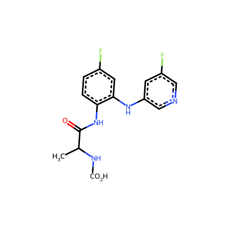 CC(NC(=O)O)C(=O)Nc1ccc(F)cc1Nc1cncc(F)c1